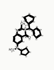 Cc1nc2ccc(N(C)C3CCCC3)cc2c(=O)n1C(c1ccccc1)c1ccccc1